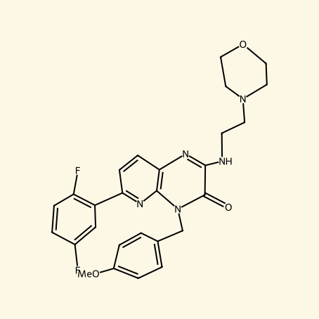 COc1ccc(Cn2c(=O)c(NCCN3CCOCC3)nc3ccc(-c4cc(F)ccc4F)nc32)cc1